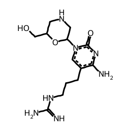 N=C(N)NCCCc1cn(C2CNCC(CO)O2)c(=O)nc1N